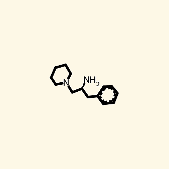 N[C@@H](Cc1ccccc1)CN1CCCCC1